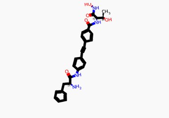 C[C@@H](O)[C@H](NC(=O)c1ccc(C#Cc2ccc(NC(=O)[C@@H](N)Cc3ccccc3)cc2)cc1)C(=O)NO